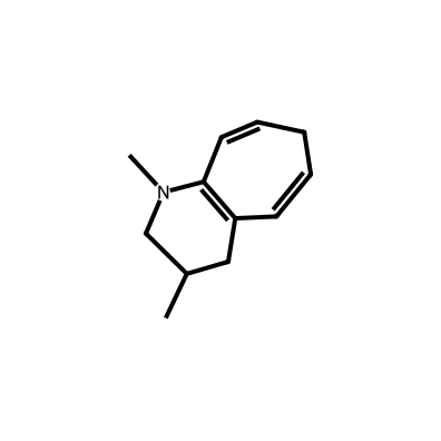 CC1CC2=C(C=CCC=C2)N(C)C1